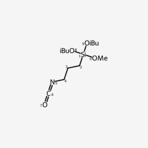 CO[Si](CCCN=C=O)(OCC(C)C)OCC(C)C